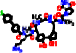 C[C@@H]1NC(=O)[C@@H](N(C)C(=O)[C@H](CCCCN)NC(=O)c2ccc(-c3ccc(Cl)cc3)cc2)c2ccc(O)c(c2)-c2cc(ccc2O)C[C@@H](C(=O)N[C@@H](C)C(=O)N2CC[C@H](O)[C@H]2C(N)=O)NC1=O